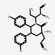 C=CC[C@@]1(C)CC(c2cccc(Cl)c2)C(c2ccc(Cl)cc2)N(C(CC)[C@H](C)C=O)C1=O